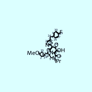 CO[C@H]1CCN(C(=O)[C@@]2(C)CN(C(C)C)C(=O)c3c(O)c(=O)c(-c4ncc(Cc5ccc(F)cc5)s4)cn32)C1